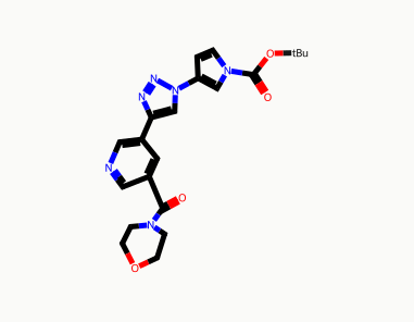 CC(C)(C)OC(=O)n1ccc(-n2cc(-c3cncc(C(=O)N4CCOCC4)c3)nn2)c1